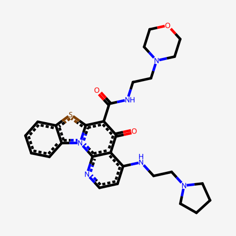 O=C(NCCN1CCOCC1)c1c(=O)c2c(NCCN3CCCC3)ccnc2n2c1sc1ccccc12